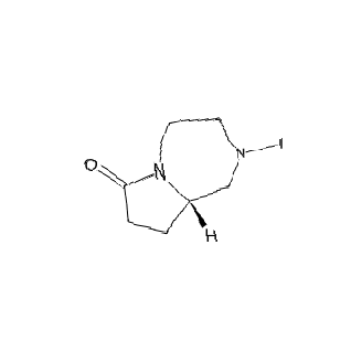 O=C1CC[C@H]2CN(I)CCN12